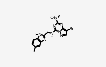 Cc1ccc2[nH]c(CNc3nc([S+](C)[O-])nc4c(Br)cnn34)nc2c1